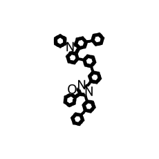 c1ccc(-c2cccc(-c3nc(-c4cccc(-c5cccc(-c6cccc7c6c6cc(-c8ccccc8)ccc6n7-c6ccccc6)c5)c4)nc4oc5ccccc5c34)c2)cc1